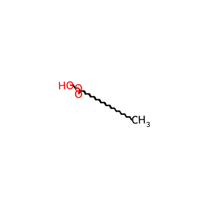 CCCCCCCCCC=CC=CC=CC=CC=CC=CC(=O)OCCO